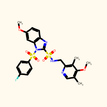 COc1ccc2nc(S(=O)(=O)NCc3ncc(C)c(OC)c3C)n(S(=O)(=O)c3ccc(F)cc3)c2c1